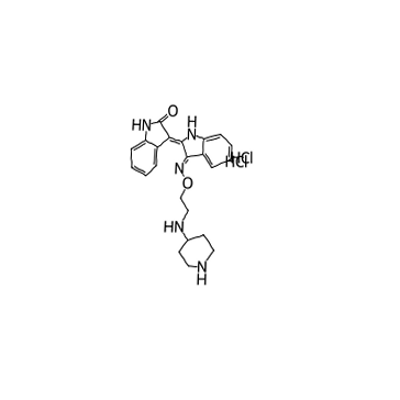 Cl.Cl.O=C1Nc2ccccc2/C1=C1/Nc2ccccc2/C1=N\OCCNC1CCNCC1